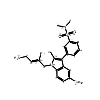 COc1ccc2c(c1)c(-c1cccc(S(=O)(=O)N(C)C)c1)c(C)n2C/C(F)=C/CN